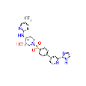 O=S(=O)(c1ccc(-c2ccnc(-c3ncc[nH]3)c2)cc1)N1CC[C@@H](Nc2ccc(C(F)(F)F)cn2)[C@@H](O)C1